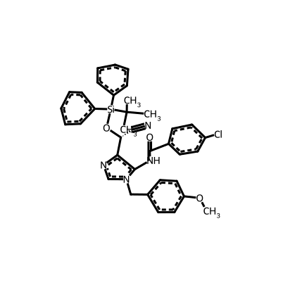 COc1ccc(Cn2cnc([C@@H](C#N)O[Si](c3ccccc3)(c3ccccc3)C(C)(C)C)c2NC(=O)c2ccc(Cl)cc2)cc1